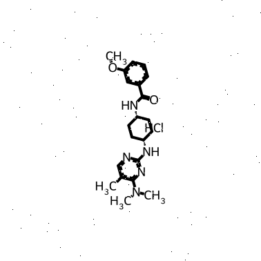 COc1cccc(C(=O)N[C@H]2CC[C@@H](Nc3ncc(C)c(N(C)C)n3)CC2)c1.Cl